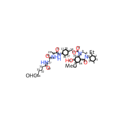 CCc1ccccc1N1CCN(C(=O)OCc2ccc(NC(=O)C(C)NC(=O)CNC(=O)CCCCC=O)cc2)c2cc(O)c(OC)cc2C1=O